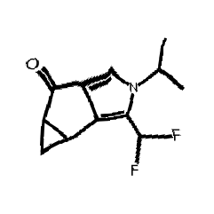 CC(C)n1cc2c(c1C(F)F)C1CC1C2=O